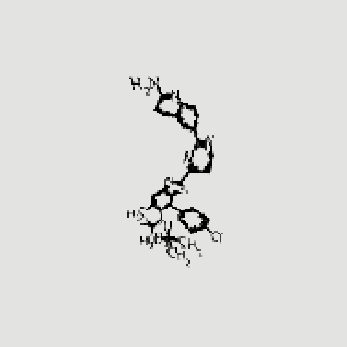 CC(=O)[C@@H](OC(C)(C)C)c1c(C)cc2nc(-c3ccnc(-c4ccc5nc(N)ccc5c4)n3)sc2c1-c1ccc(Cl)cc1